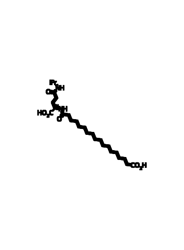 CC(C)NC(=O)CC[C@H](NC(=O)CCCCCCCCCCCCCCCCC(=O)O)C(=O)O